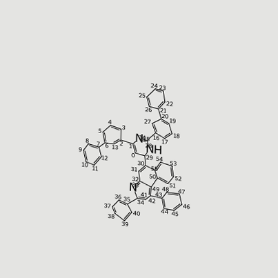 C1=C(c2cccc(-c3ccccc3)c2)N=C(c2cccc(-c3ccccc3)c2)NC1c1cc2nc(-c3ccccc3)cc(-c3ccccc3)c2c2ccccc12